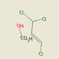 ClC=CC(Cl)Cl.O=C(O)O